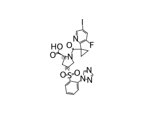 O=C(O)[C@@H]1C[C@@H](S(=O)(=O)c2ccccc2-n2cncn2)CN1C(=O)C1(c2ncc(I)cc2F)CC1